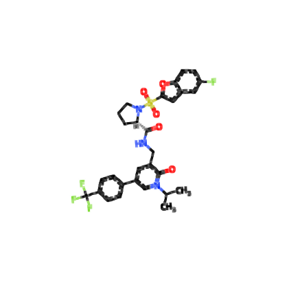 CC(C)n1cc(-c2ccc(C(F)(F)F)cc2)cc(CNC(=O)[C@@H]2CCCN2S(=O)(=O)c2cc3cc(F)ccc3o2)c1=O